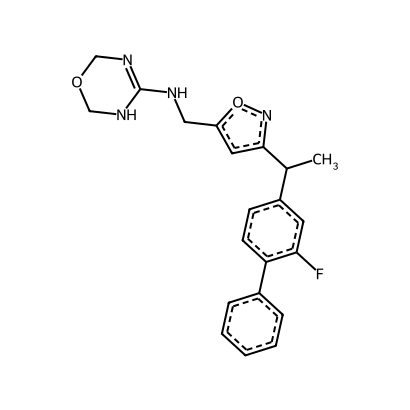 CC(c1ccc(-c2ccccc2)c(F)c1)c1cc(CNC2=NCOCN2)on1